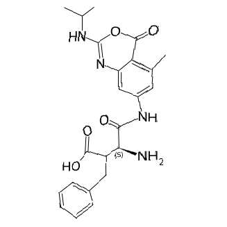 Cc1cc(NC(=O)[C@@H](N)C(Cc2ccccc2)C(=O)O)cc2nc(NC(C)C)oc(=O)c12